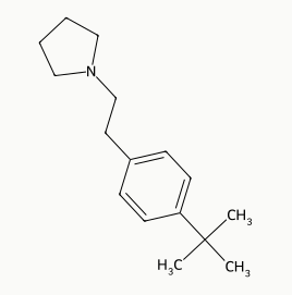 CC(C)(C)c1ccc(CCN2CCCC2)cc1